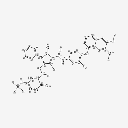 COc1cc2nccc(Oc3ccc(NC(=O)c4c(C)n(CC(C)[C@@H](NC(=O)OC(C)(C)C)C(=O)O)n(-c5ccccc5)c4=O)cc3F)c2cc1OC